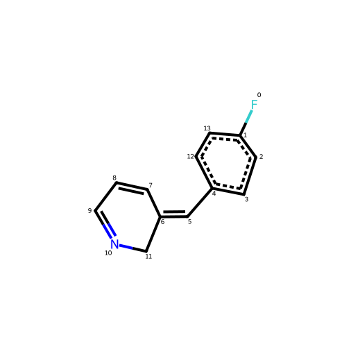 Fc1ccc(/C=C2\C=CC=NC2)cc1